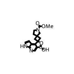 COC(=O)N1CCC2(C1)CC1(C2)OB(O)c2cnc3[nH]ccc3c21